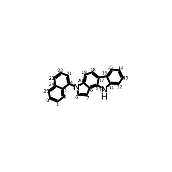 c1ccc2c(-n3ccc4c5[nH]c6ccccc6c5ccc43)cccc2c1